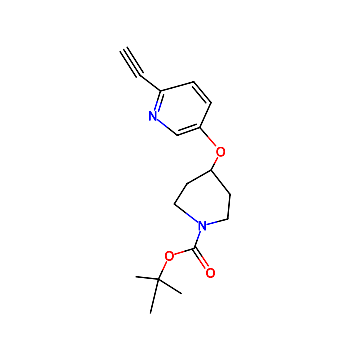 C#Cc1ccc(OC2CCN(C(=O)OC(C)(C)C)CC2)cn1